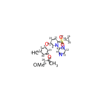 [CH]c1cc(OC2=CN(c3cnccn3)C(S(=O)(=O)C3CC3)C=C2)cc(O[C@@H](C)COC)c1